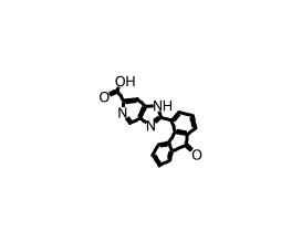 O=C(O)c1cc2[nH]c(-c3cccc4c3-c3ccccc3C4=O)nc2cn1